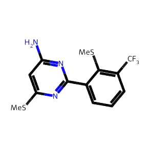 CSc1cc(N)nc(-c2cccc(C(F)(F)F)c2SC)n1